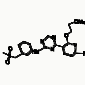 COCCOc1cc(F)ccc1-c1ncnc(Nc2cccc(CS(C)(=O)=O)c2)n1